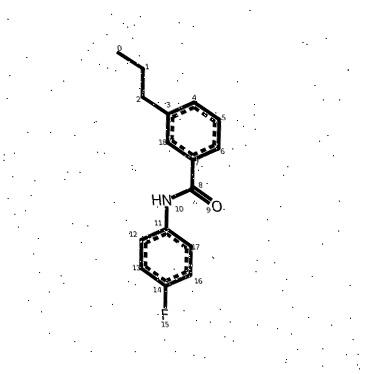 CCCc1cccc(C(=O)Nc2ccc(F)cc2)c1